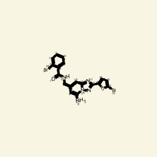 Nc1cc(CNC(=O)c2ccccc2Br)cc2nc(-c3ccc(Br)o3)nn12